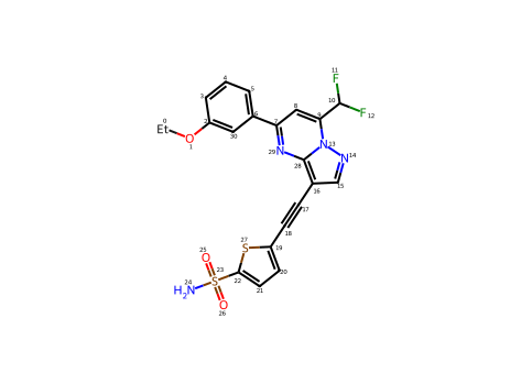 CCOc1cccc(-c2cc(C(F)F)n3ncc(C#Cc4ccc(S(N)(=O)=O)s4)c3n2)c1